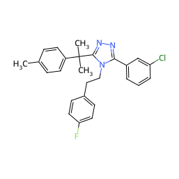 Cc1ccc(C(C)(C)c2nnc(-c3cccc(Cl)c3)n2CCc2ccc(F)cc2)cc1